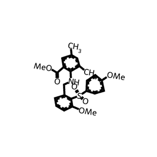 COC(=O)c1cc(C)cc(C)c1NCc1cccc(OC)c1S(=O)(=O)c1ccc(OC)cc1